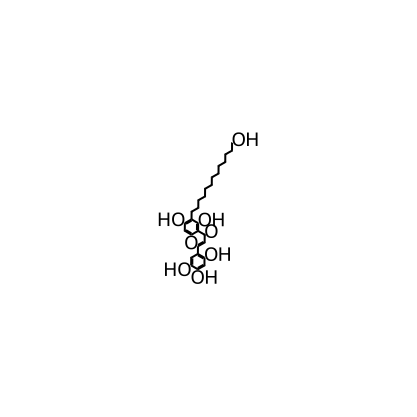 O=c1cc(-c2cc(O)c(O)cc2O)oc2cc(O)c(CCCCCCCCCCCCCO)c(O)c12